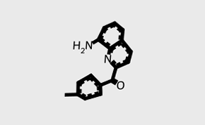 Cc1ccc(C(=O)c2ccc3cccc(N)c3n2)cc1